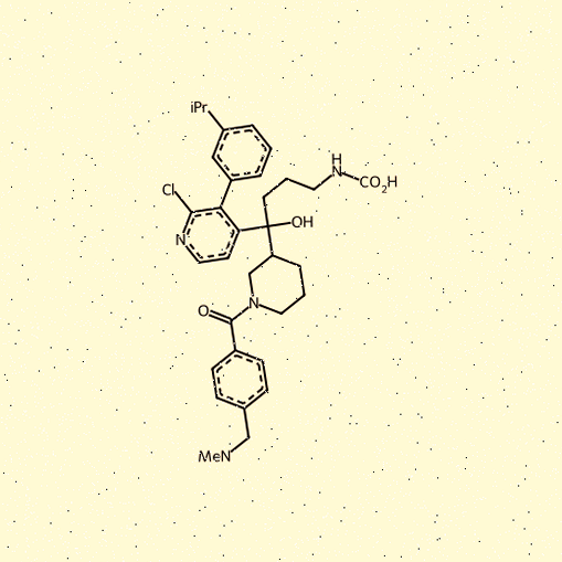 CNCc1ccc(C(=O)N2CCCC(C(O)(CCCNC(=O)O)c3ccnc(Cl)c3-c3cccc(C(C)C)c3)C2)cc1